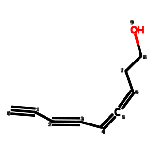 C#CC#CC=C=CCCO